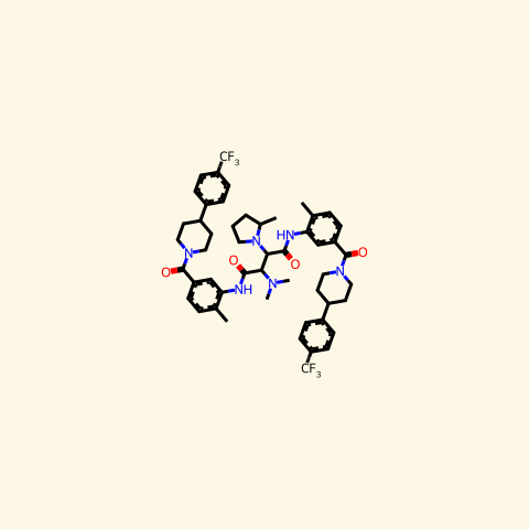 Cc1ccc(C(=O)N2CCC(c3ccc(C(F)(F)F)cc3)CC2)cc1NC(=O)C(C(C(=O)Nc1cc(C(=O)N2CCC(c3ccc(C(F)(F)F)cc3)CC2)ccc1C)N1CCCC1C)N(C)C